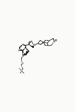 C[Si](C)(C)CCOCn1ccc2c(-c3cnn(C4CN(C5C6CNCC5COC6)C4)c3)ncnc21